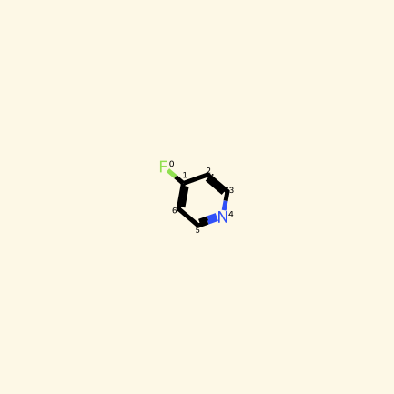 Fc1[c][c]ncc1